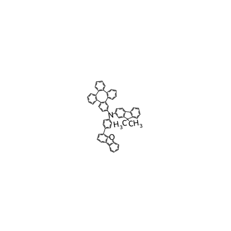 CC1(C)c2ccccc2-c2ccc(N(c3ccc(-c4cccc5c4oc4ccccc45)cc3)c3ccc4c(c3)-c3ccccc3-c3ccccc3-c3ccccc3-4)cc21